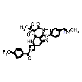 C/N=C/c1ccc(-n2nc3c(c2NC(=O)CS(C)(=O)=O)C(=O)NC2(C3)CN(C(=O)c3ccc(C(F)(F)F)cc3)C2)nc1